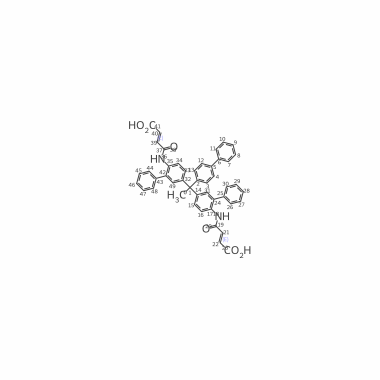 CC(c1ccc(-c2ccccc2)cc1)(c1ccc(NC(=O)/C=C/C(=O)O)c(-c2ccccc2)c1)c1ccc(NC(=O)/C=C/C(=O)O)c(-c2ccccc2)c1